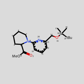 COC(=O)C1CCCCN1c1cccc(CO[Si](C)(C)C(C)(C)C)n1